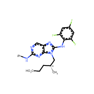 CC(C)Nc1ncc2nc(Nc3c(F)cc(F)cc3F)n(C[C@H](C)CCC(=O)O)c2n1